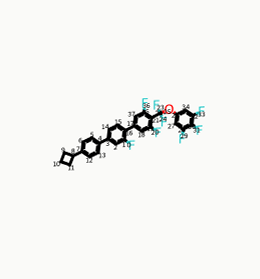 Fc1cc(-c2ccc(C3CCC3)cc2)ccc1-c1cc(F)c(C(F)(F)Oc2cc(F)c(F)c(F)c2)c(F)c1